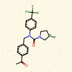 CC(=O)c1ccc(CN(C(=O)N2CC[C@@H](F)C2)c2ccc(C(F)(F)F)cc2)cc1